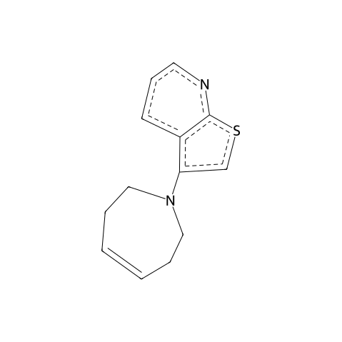 C1=CCCN(c2csc3ncccc23)CC1